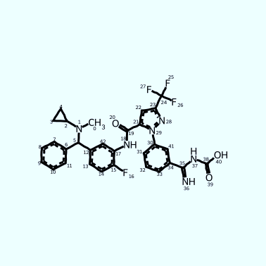 CN(C1CC1)C(c1ccccc1)c1ccc(F)c(NC(=O)c2cc(C(F)(F)F)nn2-c2cccc(C(=N)NC(=O)O)c2)c1